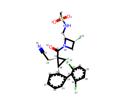 CS(=O)(=O)NC[C@@H]1[C@H](F)CN1C(=O)[C@@]1(CC#N)C[C@@H]1c1ccccc1-c1c(F)cccc1F